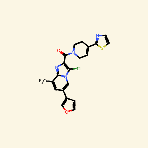 O=C(c1nc2c(C(F)(F)F)cc(-c3ccoc3)cn2c1Cl)N1CC=C(c2nccs2)CC1